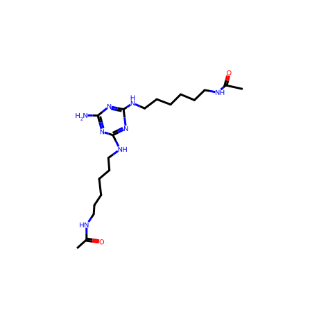 CC(=O)NCCCCCCNc1nc(N)nc(NCCCCCCNC(C)=O)n1